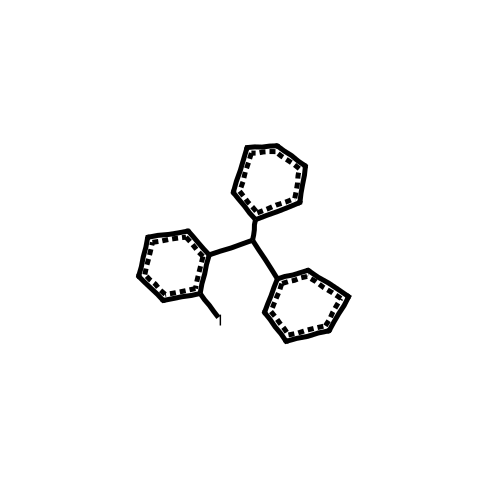 Ic1ccccc1C(c1ccccc1)c1ccccc1